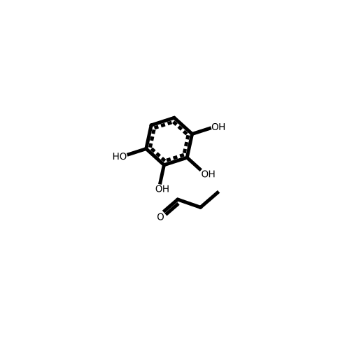 CCC=O.Oc1ccc(O)c(O)c1O